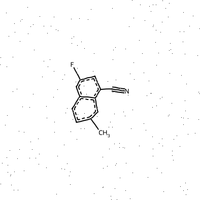 Cc1ccc2cc(F)cc(C#N)c2c1